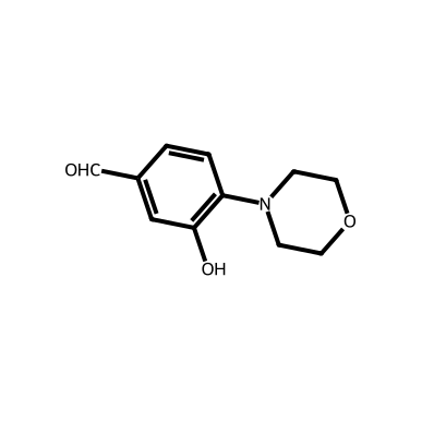 O=Cc1ccc(N2CCOCC2)c(O)c1